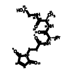 CC(C)[C@H](NC(=O)CCN1C(=O)C=CC1=O)C(=O)N[C@@H](C)C(=O)NCC(=O)O